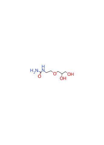 NC(=O)NCCOCC(O)CO